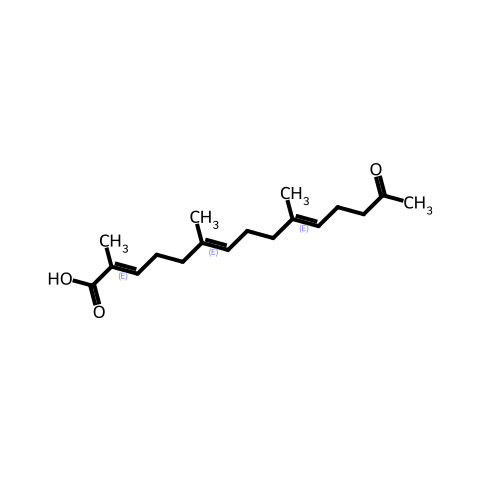 CC(=O)CC/C=C(\C)CC/C=C(\C)CC/C=C(\C)C(=O)O